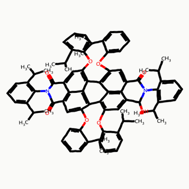 CC(C)c1ccccc1Oc1cc2c3c(cc(Oc4ccccc4C(C)C)c4c5c(Oc6ccccc6C(C)C)cc6c7c(cc(Oc8ccccc8C(C)C)c(c1c34)c75)C(=O)N(c1c(C(C)C)cccc1C(C)C)C6O)C(=O)N(c1c(C(C)C)cccc1C(C)C)C2=O